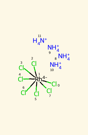 [Cl][Rh-4]([Cl])([Cl])([Cl])([Cl])([Cl])[Cl].[NH4+].[NH4+].[NH4+].[NH4+]